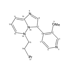 COc1cnccc1C1C=NC2=CC=CN(CCC(C)C)N21